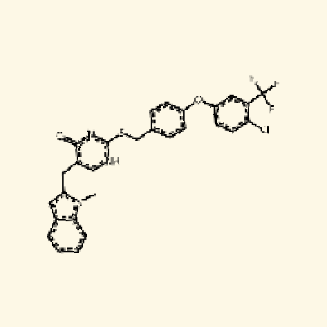 Cn1c(Cc2c[nH]c(SCc3ccc(Oc4ccc(Cl)c(C(F)(F)F)c4)cc3)nc2=O)cc2ccccc21